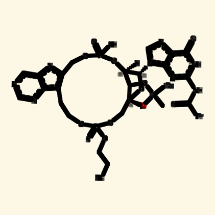 CC(C)C(=O)Nc1nc2c(ncn2[C@@H]2O[C@@H]3COP(=S)(OCCC#N)OCCn4c(nc5cncnc54)COP(=O)(S)O[C@@H]2C3O[Si](C)(C)C(C)(C)C)c(=O)[nH]1